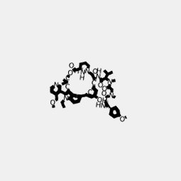 CCn1c(-c2cnccc2COC)c2c3cc(ccc31)-c1cc(O)cc(c1)C[C@H](NC(=O)C(C(C)C)N(C)C(=O)CN(C)C(=O)[C@H]1N[C@@H]1c1ccc(OC)cc1)C(=O)N1CCC[C@H](N1)C(=O)OCC(C)(C)C2